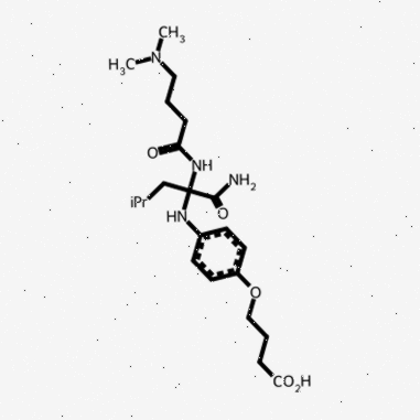 CC(C)CC(NC(=O)CCCN(C)C)(Nc1ccc(OCCCC(=O)O)cc1)C(N)=O